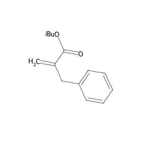 C=C(Cc1ccccc1)C(=O)OCC(C)C